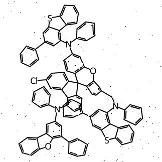 Clc1ccc2c(c1)-c1c(N(c3ccccc3)c3cc(-c4ccccc4)c4oc5ccccc5c4c3)cccc1C21c2ccc(CN(c3ccccc3)c3cc(-c4ccccc4)cc4sc5ccccc5c34)cc2Oc2cc(N(c3ccccc3)c3cc(-c4ccccc4)cc4sc5ccccc5c34)ccc21